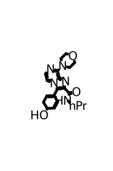 CCCNC(=O)c1nc2c(N3CCOCC3)nccn2c1C1=CCC(O)C=C1